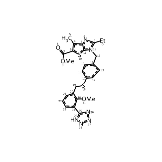 CCc1nc2c(C)c(C(=O)OC)sc2n1Cc1ccc(SCc2cccc(-c3nnn[nH]3)c2OC)cc1